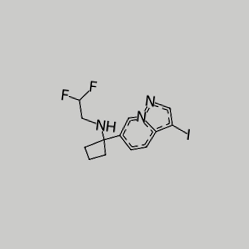 FC(F)CNC1(c2ccc3c(I)cnn3c2)CCC1